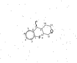 Fc1ccccc1[C@@H](I)C1CCOCC1